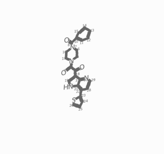 O=C(C(=O)N1CCN(C(=O)c2ccccc2)CC1)c1c[nH]c2c(-c3cccs3)ccnc12